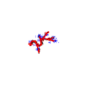 C#CCOC(=O)NCCCCC[C@H](NC(=O)[C@H](CCCNC(=N)N)NC(=O)CCC(C)(C)OCCC(C)(C)NC(=O)[C@H](CCCCNC(=O)OCC#C)NC(=O)CCC(C)(C)OCCC(C)(C)NC(=O)CN1C(=O)C=CC1=O)C(=O)NCCOCCC(=O)N[C@@H](CCCNC(=N)N)C(=O)NCC(N)=O